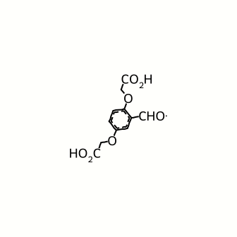 O=[C]c1cc(OCC(=O)O)ccc1OCC(=O)O